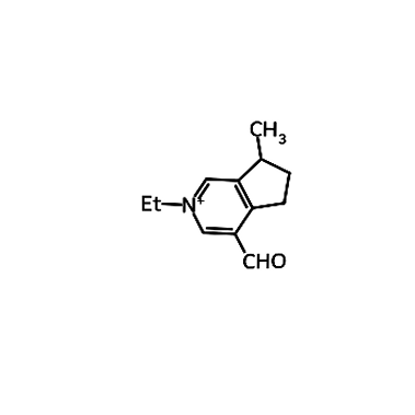 CC[n+]1cc(C=O)c2c(c1)C(C)CC2